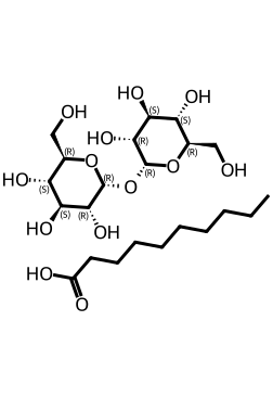 CCCCCCCCCC(=O)O.OC[C@H]1O[C@H](O[C@H]2O[C@H](CO)[C@@H](O)[C@H](O)[C@H]2O)[C@H](O)[C@@H](O)[C@@H]1O